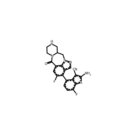 N#Cc1c(N)sc2c(F)ccc(-c3c(F)cc4c5c3cnn5CC3CNCCN3C4=O)c12